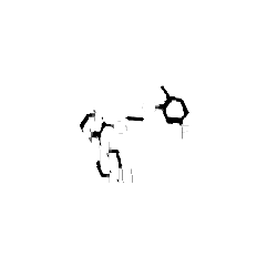 Cc1ccc(F)cc1OCCOc1nccnc1N1CCNCC1